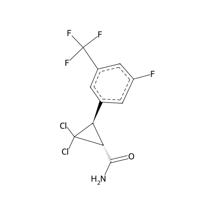 NC(=O)[C@H]1[C@H](c2cc(F)cc(C(F)(F)F)c2)C1(Cl)Cl